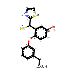 O=C(O)Cc1cccc(Oc2ccc(Br)cc2C(S)c2nccs2)c1